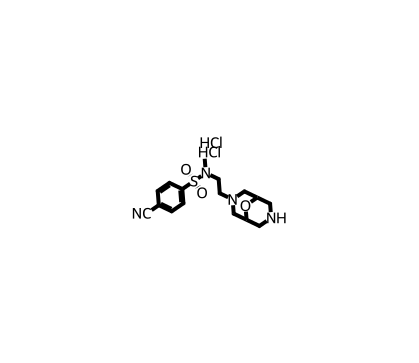 CN(CCN1CC2CNCC(C1)O2)S(=O)(=O)c1ccc(C#N)cc1.Cl.Cl